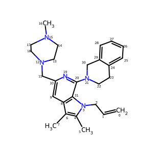 C=CCn1c(C)c(C)c2cc(CN3CCN(C)CC3)nc(N3CCc4ccccc4C3)c21